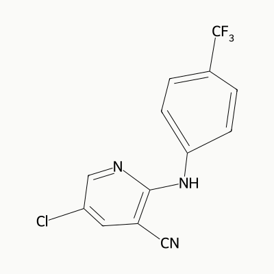 N#Cc1cc(Cl)cnc1Nc1ccc(C(F)(F)F)cc1